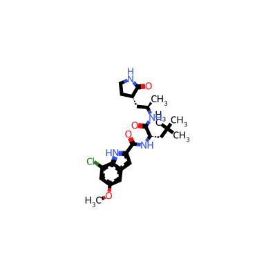 COc1cc(Cl)c2[nH]c(C(=O)N[C@@H](CC(C)(C)C)C(=O)N[C@H](C)C[C@@H]3CCNC3=O)cc2c1